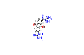 N=C(N)Nc1ccc2c(c1)C(=O)c1cc(NC(=N)N)ccc1C2=O